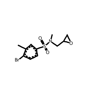 Cc1cc(S(=O)(=O)N(C)CC2CO2)ccc1Br